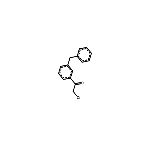 O=C(CCl)c1cccc(Cc2ccccc2)c1